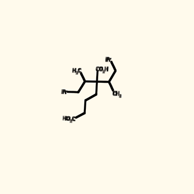 CC(C)CC(C)C(CCCC(=O)O)(C(=O)O)C(C)CC(C)C